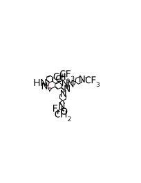 C=C(F)C(=O)N1CC2(CCN(c3nc(N4CC5(CCN(CC(F)(F)F)CC5)C4)nc4c(OCC(F)(F)F)c(-c5c(C)ccc6[nH]ncc56)c(C5CC5)cc34)CC2)C1